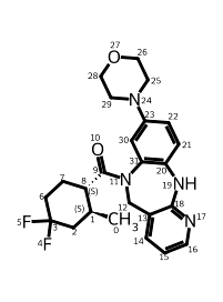 C[C@H]1CC(F)(F)CC[C@@H]1C(=O)N1Cc2cccnc2Nc2ccc(N3CCOCC3)cc21